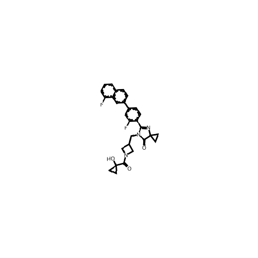 O=C(N1CC(CN2C(=O)C3(CC3)N=C2c2ccc(-c3ccc4cccc(F)c4c3)cc2F)C1)C1(O)CC1